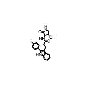 O=C(CCc1c(-c2ccc(F)cc2)[nH]c2ccccc12)NC1C(=O)NCC1O